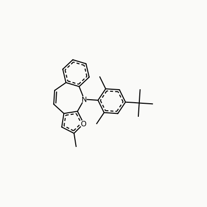 Cc1cc2c(o1)N(c1c(C)cc(C(C)(C)C)cc1C)c1ccccc1C=C2